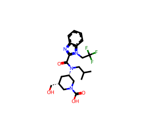 CC(C)CN(C(=O)c1nc2ccccc2n1CC(F)(F)F)[C@H]1C[C@@H](CO)CN(C(=O)O)C1